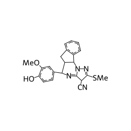 COc1cc(C2N=C3C(C#N)C(SC)=NN3C3c4ccccc4CC23)ccc1O